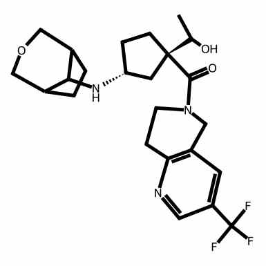 CC(O)[C@]1(C(=O)N2CCc3ncc(C(F)(F)F)cc3C2)CC[C@@H](NC2C3CCC2COC3)C1